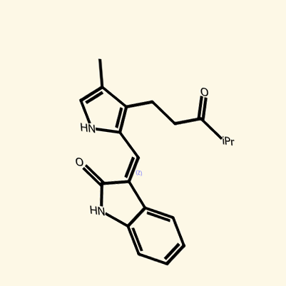 Cc1c[nH]c(/C=C2\C(=O)Nc3ccccc32)c1CCC(=O)C(C)C